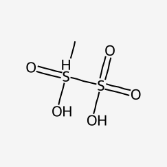 C[SH](=O)(O)S(=O)(=O)O